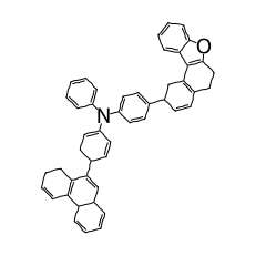 C1=CC2C=C(C3C=CC(N(c4ccccc4)c4ccc(C5C=CC6=C(C5)c5c(oc7ccccc57)CC6)cc4)=CC3)C3=C(C=CCC3)C2C=C1